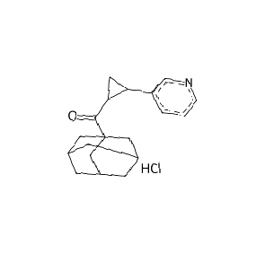 Cl.O=C(C1CC1c1cccnc1)C12CC3CC(CC(C3)C1)C2